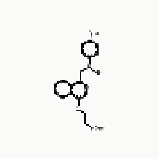 CCCCCCCCCCCCOc1ccc(CC([NH])c2ccc(C(F)(F)F)cc2)c2ccccc12